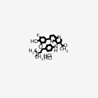 CC(=O)c1cnc2ccc(-c3cc(F)c(O)c(Cl)c3)nc2c1Nc1ccc(CCN(C)C)cc1.Cl.Cl